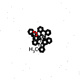 Cc1cccc2c3ccccc3n(-c3cccc(-c4ccccc4)c3-c3nc(-c4ccccc4)nc(-c4c(-c5ccccc5)cccc4-n4c5ccccc5c5cccc(C)c54)n3)c12